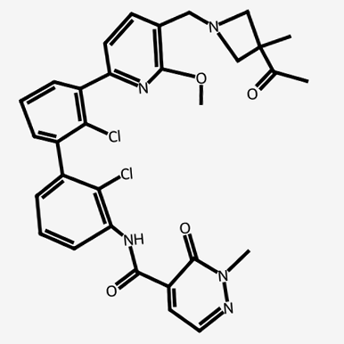 COc1nc(-c2cccc(-c3cccc(NC(=O)c4ccnn(C)c4=O)c3Cl)c2Cl)ccc1CN1CC(C)(C(C)=O)C1